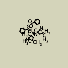 CC(C)CC(C)(C#N)N=NC(C)(C#N)CC(C)C.O=C(OOC(=O)c1ccccc1)c1ccccc1